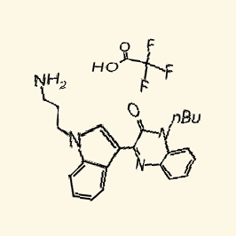 CCCCn1c(=O)c(-c2cn(CCCN)c3ccccc23)nc2ccccc21.O=C(O)C(F)(F)F